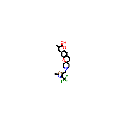 Cc1nc(C(F)(F)F)c(CN2CCC3(CCc4ccc(CC(C)C(=O)O)cc4O3)CC2)s1